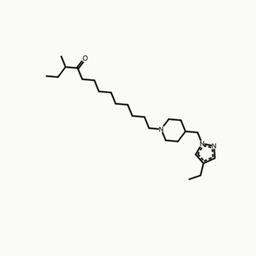 CCc1cnn(CC2CCN(CCCCCCCCCC(=O)C(C)CC)CC2)c1